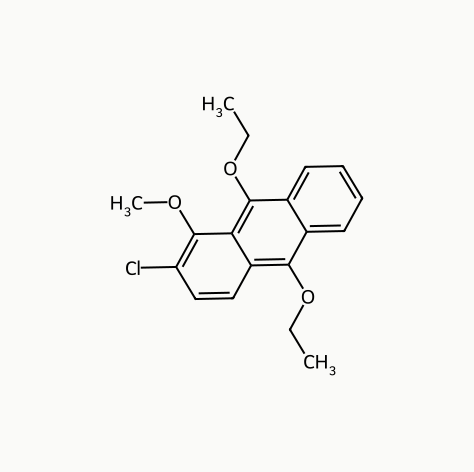 CCOc1c2ccccc2c(OCC)c2c(OC)c(Cl)ccc12